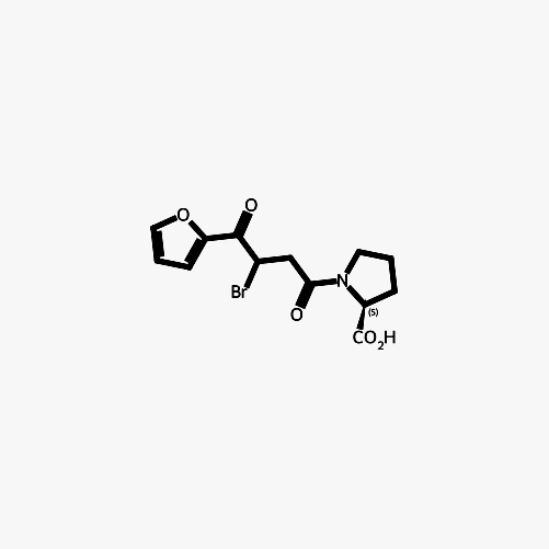 O=C(c1ccco1)C(Br)CC(=O)N1CCC[C@H]1C(=O)O